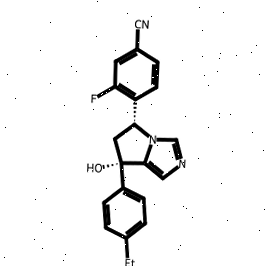 CCc1ccc([C@@]2(O)C[C@H](c3ccc(C#N)cc3F)n3cncc32)cc1